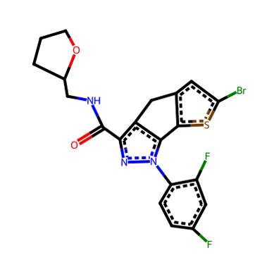 O=C(NCC1CCCO1)c1nn(-c2ccc(F)cc2F)c2c1Cc1cc(Br)sc1-2